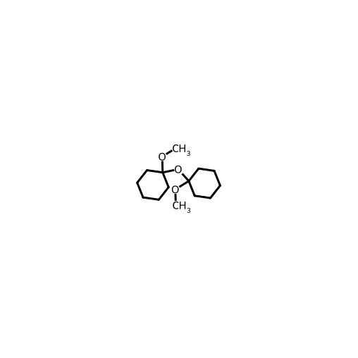 COC1(OC2(OC)CCCCC2)CCCCC1